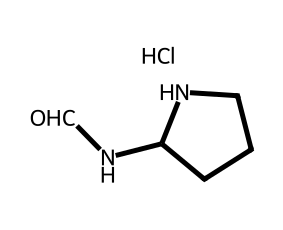 Cl.O=CNC1CCCN1